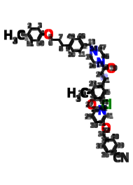 Cc1ccc(OCCCc2ccc(CN3CCN(C(=O)/C=C/c4cc(C)c(Oc5ccc(OCc6ccc(C#N)cc6)cn5)c(Cl)c4)CC3)cc2)cc1